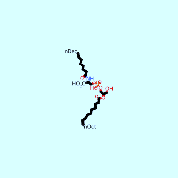 CCCCCCCC/C=C\CCCCCCCC(=O)OC(CO)COP(=O)(O)OCC(NC(=O)CCCCCCCCCCCCCCCCC)C(=O)O